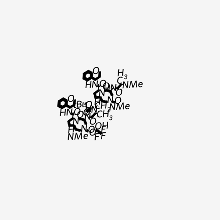 CNC(=O)N1CC[C@H]2CC[C@@H](C(=O)N[C@@H]3CCOc4ccccc43)N2C(=O)[C@@H](NC(=O)[C@H](C)N(C)C(=O)OC(C)(C)C)C1.CNC(=O)N1CC[C@H]2CC[C@@H](C(=O)N[C@@H]3CCOc4ccccc43)N2C(=O)[C@@H](NC(=O)[C@H](C)NC)C1.O=C(O)C(F)(F)F